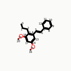 CCCc1c(C=Cc2ccccc2)cc(OC)cc1OC